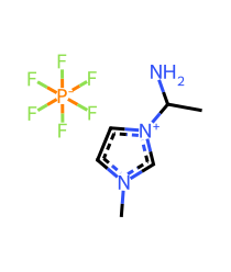 CC(N)[n+]1ccn(C)c1.F[P-](F)(F)(F)(F)F